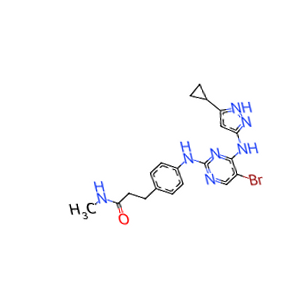 CNC(=O)CCc1ccc(Nc2ncc(Br)c(Nc3cc(C4CC4)[nH]n3)n2)cc1